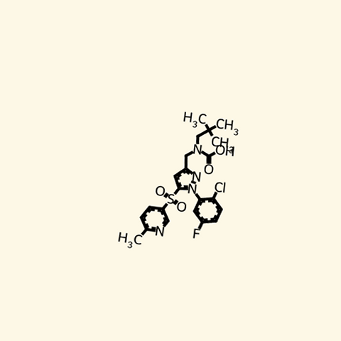 Cc1ccc(S(=O)(=O)c2cc(CN(CC(C)(C)C)C(=O)O)nn2-c2cc(F)ccc2Cl)cn1